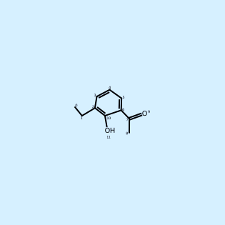 CCc1[c]ccc(C(C)=O)c1O